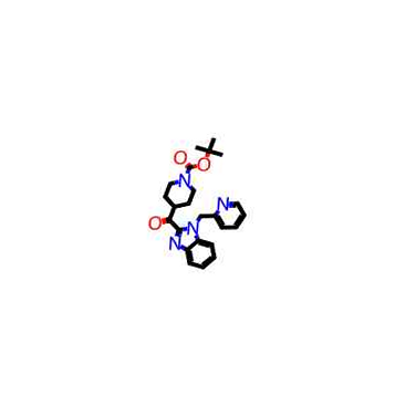 CC(C)(C)OC(=O)N1CCC(C(=O)c2nc3ccccc3n2Cc2ccccn2)CC1